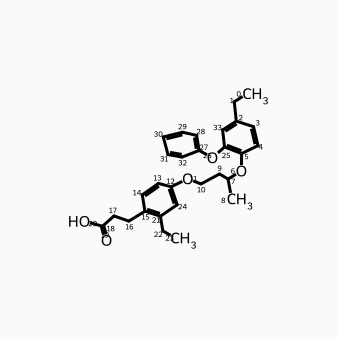 CCc1ccc(OC(C)CCOc2ccc(CCC(=O)O)c(CC)c2)c(Oc2ccccc2)c1